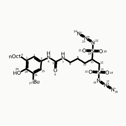 CCCCCCCCc1cc(NC(=O)NCCCC(CS(=O)(=O)N=[N+]=[N-])S(=O)(=O)N=[N+]=[N-])cc(C(C)CC)c1O